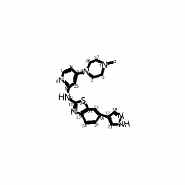 CN1CCN(c2ccnc(Nc3nc4ccc(-c5cn[nH]c5)cc4s3)c2)CC1